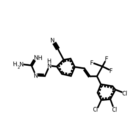 N#Cc1cc(/C=C/C(c2cc(Cl)c(Cl)c(Cl)c2)C(F)(F)F)ccc1N/C=N\C(=N)N